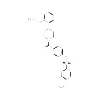 COc1ccccc1N1CCN(C(=O)c2ccc(NS(=O)(=O)c3ccc4c(c3)OCCO4)cc2)CC1